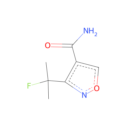 CC(C)(F)c1nocc1C(N)=O